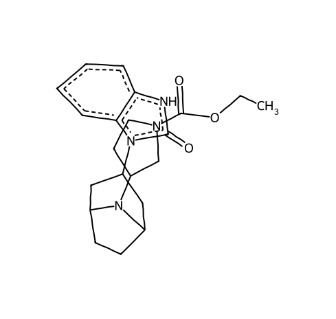 CCOC(=O)N1CCC(N2C3CCC2CC(n2c(=O)[nH]c4ccccc42)C3)C1